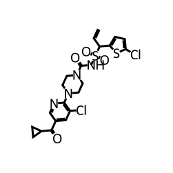 C=CC(c1ccc(Cl)s1)S(=O)(=O)NC(=O)N1CCN(c2ncc(C(=O)C3CC3)cc2Cl)CC1